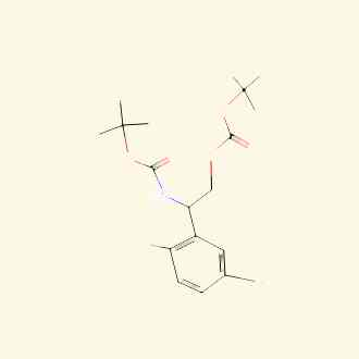 CC(C)(C)OC(=O)NC(COC(=O)OC(C)(C)C)c1cc(Br)ccc1F